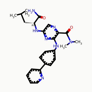 CC(C)C[C@@H](Nc1cnc(C(=O)N(C)C)c(Nc2ccc(-c3ccccn3)cc2)n1)C(N)=O